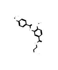 CCCCCCCCCCOc1ccc(C(=O)Nc2cc(C(=O)NCCOC)ccc2OCCC)cc1